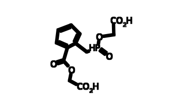 O=C(O)COC(=O)c1ccccc1C[PH](=O)OCC(=O)O